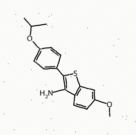 COc1ccc2c(N)c(-c3ccc(OC(C)C)cc3)sc2c1